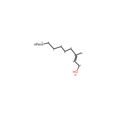 CCCCCCCCCCC(C)=CCO